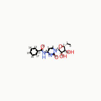 CC[C@H]1O[C@@H](n2ccc(NC(=O)c3ccccc3)nc2=O)C(O)[C@H]1O